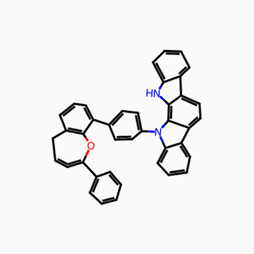 C1=CCc2cccc(-c3ccc(-n4c5ccccc5c5ccc6c7ccccc7[nH]c6c54)cc3)c2OC=1c1ccccc1